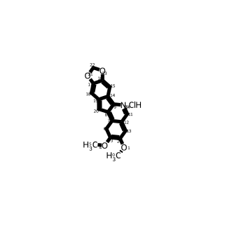 COC1=C(OC)Cc2c3c(ncc2=C1)=c1cc2c(cc1=C3)OCO2.Cl